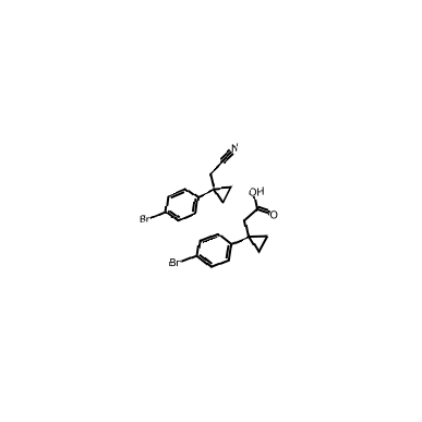 N#CCC1(c2ccc(Br)cc2)CC1.O=C(O)CC1(c2ccc(Br)cc2)CC1